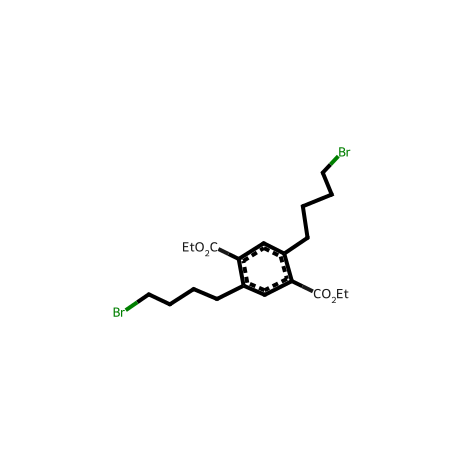 CCOC(=O)c1cc(CCCCBr)c(C(=O)OCC)cc1CCCCBr